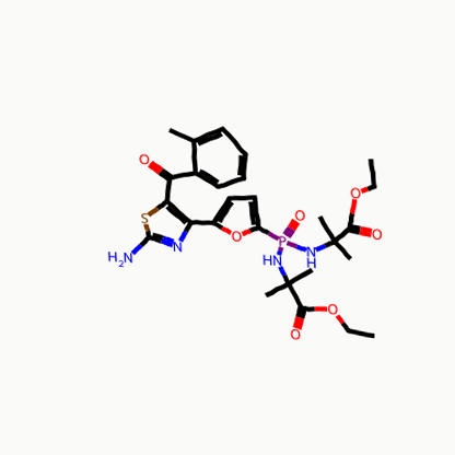 CCOC(=O)C(C)(C)NP(=O)(NC(C)(C)C(=O)OCC)c1ccc(-c2nc(N)sc2C(=O)c2ccccc2C)o1